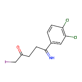 N=C(CCC(=O)CI)c1ccc(Cl)c(Cl)c1